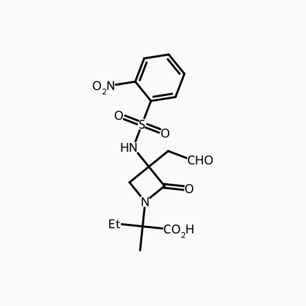 CCC(C)(C(=O)O)N1CC(CC=O)(NS(=O)(=O)c2ccccc2[N+](=O)[O-])C1=O